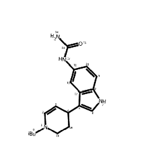 CCC(C)N1C=CC(c2c[nH]c3ccc(NC(N)=O)cc23)CC1